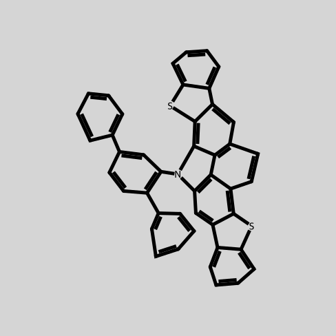 c1ccc(-c2ccc(-c3ccccc3)c(-n3c4cc5c6ccccc6sc5c5ccc6cc7c8ccccc8sc7c3c6c54)c2)cc1